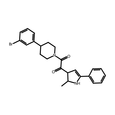 CC1NC(c2ccccc2)=CC1C(=O)C(=O)N1CCC(c2cccc(Br)c2)CC1